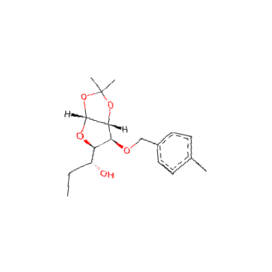 CC[C@@H](O)[C@H]1O[C@@H]2OC(C)(C)O[C@@H]2[C@H]1OCc1ccc(C)cc1